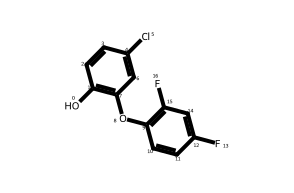 Oc1ccc(Cl)cc1Oc1ccc(F)cc1F